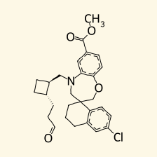 COC(=O)c1ccc2c(c1)N(C[C@@H]1CC[C@H]1CCC=O)CC1(CCCc3cc(Cl)ccc31)CO2